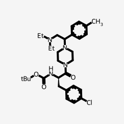 CCN(CC)CC(c1ccc(C)cc1)N1CCN(C(=O)[C@@H](Cc2ccc(Cl)cc2)NC(=O)OC(C)(C)C)CC1